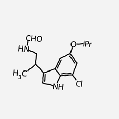 CC(C)Oc1cc(Cl)c2[nH]cc(C(C)CNC=O)c2c1